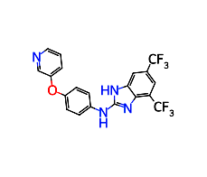 FC(F)(F)c1cc(C(F)(F)F)c2nc(Nc3ccc(Oc4cccnc4)cc3)[nH]c2c1